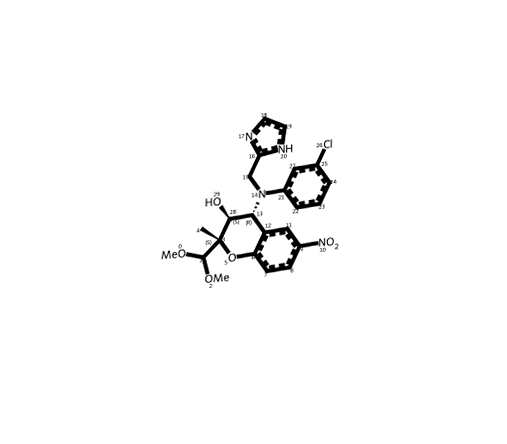 COC(OC)[C@@]1(C)Oc2ccc([N+](=O)[O-])cc2[C@@H](N(Cc2ncc[nH]2)c2cccc(Cl)c2)[C@@H]1O